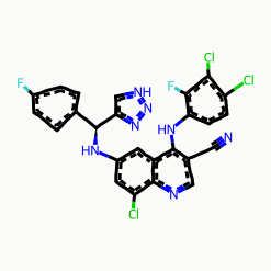 N#Cc1cnc2c(Cl)cc(N[C@@H](c3ccc(F)cc3)c3c[nH]nn3)cc2c1Nc1ccc(Cl)c(Cl)c1F